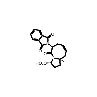 O=C(O)[C@@H]1CC[C@@H]2C/C=C\C[C@H](N3C(=O)c4ccccc4C3=O)C(=O)N21